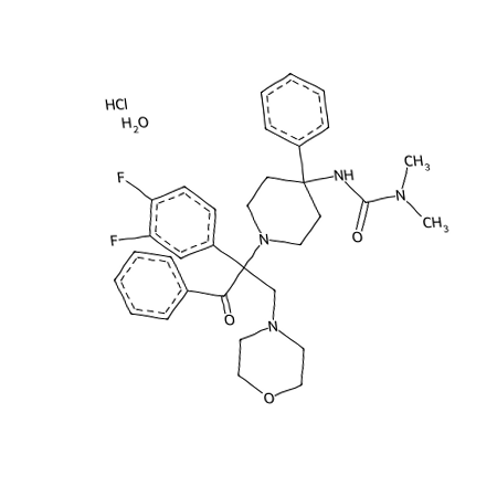 CN(C)C(=O)NC1(c2ccccc2)CCN(C(CN2CCOCC2)(C(=O)c2ccccc2)c2ccc(F)c(F)c2)CC1.Cl.O